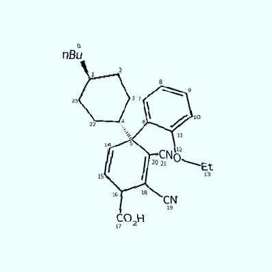 CCCC[C@H]1CC[C@H](C2(c3ccccc3OCC)C=CC(C(=O)O)C(C#N)=C2C#N)CC1